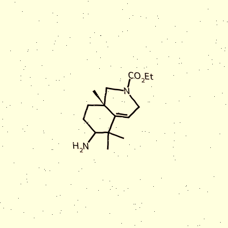 CCOC(=O)N1CC=C2C(C)(C)C(N)CC[C@]2(C)C1